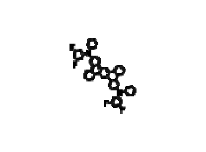 Fc1cc(F)cc(N(c2ccccc2)c2ccc3c(c2)c2ccccc2c2cc4c5ccc(N(c6ccccc6)c6cc(F)cc(F)c6)cc5c5ccccc5c4cc32)c1